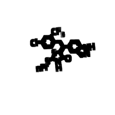 CCCSC1NC(=O)C(=C(Cc2ccc(Cl)cc2C(F)(F)F)c2ccc3[nH]ncc3c2)S1